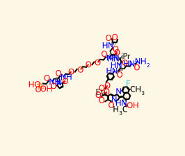 CC[C@@]1(OC(=O)OCc2ccc(NC(=O)[C@H](CCCNC(N)=O)NC(=O)[C@@H](NC(=O)[C@H](CC(=O)N[C@H]3CCOC3=O)NC(=O)CCOCCOCCOCCOCCNC(=O)[C@H](CNC(=O)CCP(=O)(O)O)N3C(=O)C=CC3=O)C(C)C)cc2)C(=O)OCc2c1cc1n(c2=O)Cc2c-1nc1cc(F)c(C)c3c1c2[C@@H](NC(C)O)CC3